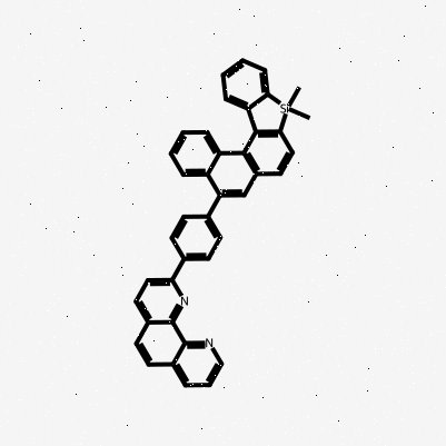 C[Si]1(C)c2ccccc2-c2c1ccc1cc(-c3ccc(-c4ccc5ccc6cccnc6c5n4)cc3)c3ccccc3c21